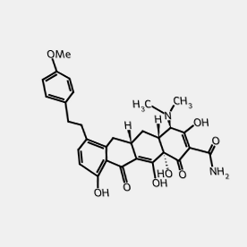 COc1ccc(CCc2ccc(O)c3c2C[C@@H]2C[C@@H]4[C@@H](N(C)C)C(O)=C(C(N)=O)C(=O)[C@@]4(O)C(O)=C2C3=O)cc1